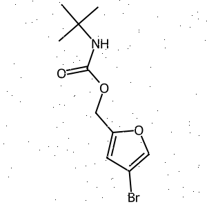 CC(C)(C)NC(=O)OCc1cc(Br)co1